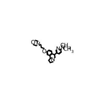 CN(C)c1ccc(C2CN3CCCC3c3cc(OCCCN4CCOCC4)ccc32)cn1